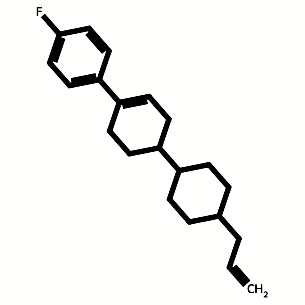 C=CCC1CCC(C2CC=C(c3ccc(F)cc3)CC2)CC1